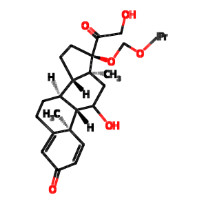 CC(C)OCO[C@]1(C(=O)CO)CC[C@H]2[C@@H]3CCC4=CC(=O)C=C[C@]4(C)[C@H]3C(O)C[C@@]21C